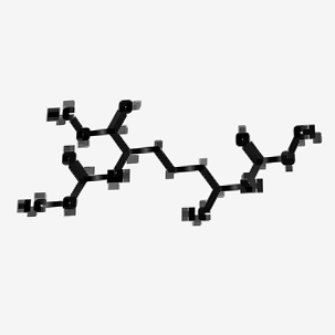 COC(=O)NC(C)CCCC(NC(=O)OC)C(=O)OC